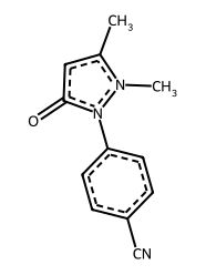 Cc1cc(=O)n(-c2ccc(C#N)cc2)n1C